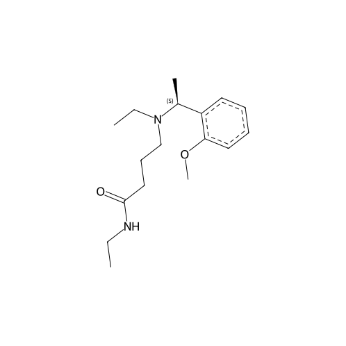 CCNC(=O)CCCN(CC)[C@@H](C)c1ccccc1OC